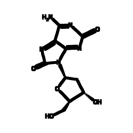 NC1=NC(=O)N=C2C1=NC(=O)N2[C@H]1C[C@H](O)[C@@H](CO)O1